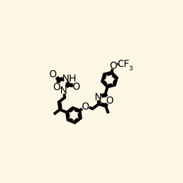 C/C(=C/Cn1oc(=O)[nH]c1=O)c1cccc(OCc2nc(-c3ccc(OC(F)(F)F)cc3)oc2C)c1